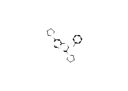 O=C([C@@H](Cc1ccccc1)Nc1cc(N2CCCC2)ncn1)N1CCCC1